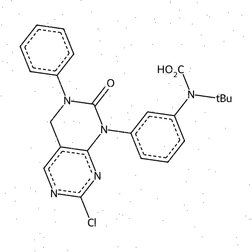 CC(C)(C)N(C(=O)O)c1cccc(N2C(=O)N(c3ccccc3)Cc3cnc(Cl)nc32)c1